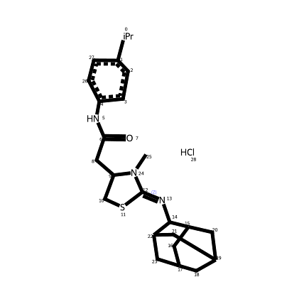 CC(C)c1ccc(NC(=O)CC2CS/C(=N\C3C4CC5CC(C4)CC3C5)N2C)cc1.Cl